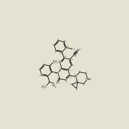 Cc1ccnc(C(C)C)c1-n1c(=O)nc(N2CCNCC23CC3)c2cc(C#N)c(-c3ccccc3F)nc21